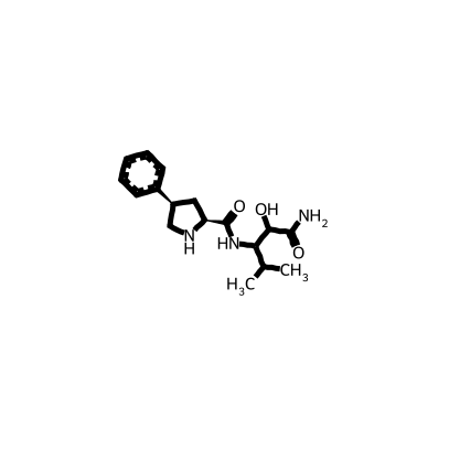 CC(C)C(NC(=O)[C@@H]1C[C@H](c2ccccc2)CN1)C(O)C(N)=O